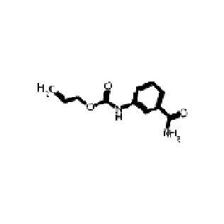 C=CCOC(=O)Nc1cccc(C(N)=O)c1